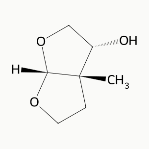 C[C@@]12CCO[C@@H]1OC[C@@H]2O